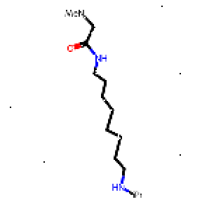 CNCC(=O)NCCCCCCCCNC(C)C